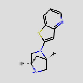 c1cnc2cc(N3C[C@H]4C[C@@H]3CN4)sc2c1